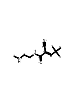 CNCCNC(=O)/C(C#N)=C/C(C)(C)C